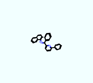 Cc1ccc2ccccc2c1NC(c1ccccc1)c1cccc(-c2ccccc2)n1